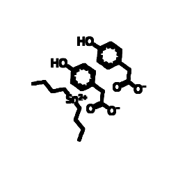 CCC[CH2][Sn+2][CH2]CCC.O=C([O-])Cc1ccc(O)cc1.O=C([O-])Cc1ccc(O)cc1